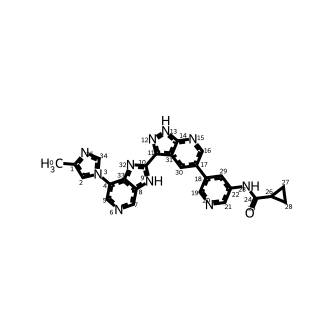 Cc1cn(-c2cncc3[nH]c(-c4n[nH]c5ncc(-c6cncc(NC(=O)C7CC7)c6)cc45)nc23)cn1